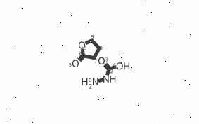 NNC(=O)O.O=C1CCCO1